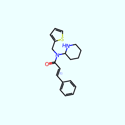 O=C(/C=C/c1ccccc1)N(Cc1cccs1)C1CCCCN1